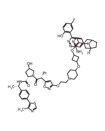 Cc1ncsc1-c1ccc([C@H](C)NC(=O)[C@@H]2C[C@@H](O)CN2C(=O)[C@@H](c2cc(OCCN3CCC(OC4CC(Oc5cc(N6C7CC[C@@H]6CN(c6cc(-c8cc(F)ccc8O)nnc6N)C7)ccn5)C4)CC3)no2)C(C)C)cc1